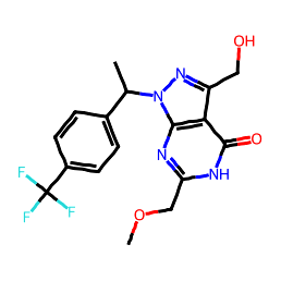 COCc1nc2c(c(CO)nn2C(C)c2ccc(C(F)(F)F)cc2)c(=O)[nH]1